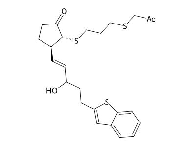 CC(=O)CSCCCS[C@H]1C(=O)CC[C@@H]1/C=C/C(O)CCc1cc2ccccc2s1